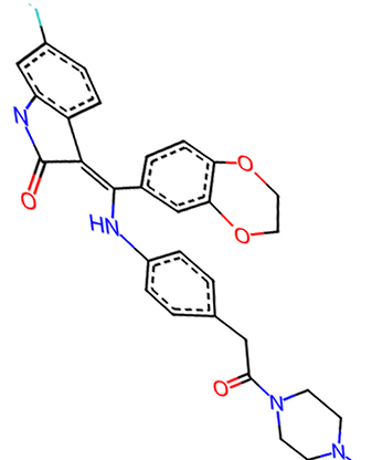 CN1CCN(C(=O)Cc2ccc(N/C(=C3\C(=O)Nc4cc(F)ccc43)c3ccc4c(c3)OCCO4)cc2)CC1